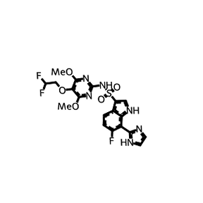 COc1nc(NS(=O)(=O)c2c[nH]c3c(-c4ncc[nH]4)c(F)ccc23)nc(OC)c1OCC(F)F